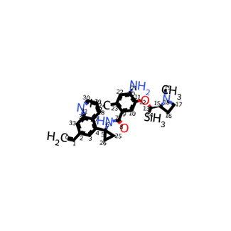 C=Cc1cc(C2(NC(=O)c3cc(OC([SiH3])[C@@H]4CCN4C)c(N)cc3C)CC2)c2cccnc2c1